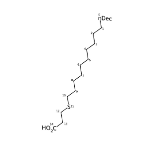 CCCCCCCCCCCCCCCCCCCCSCCC(=O)O